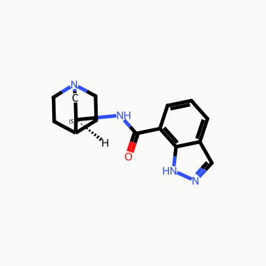 O=C(N[C@@H]1CN2CCC1CC2)c1cccc2cn[nH]c12